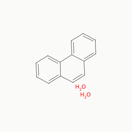 O.O.c1ccc2c(c1)ccc1ccccc12